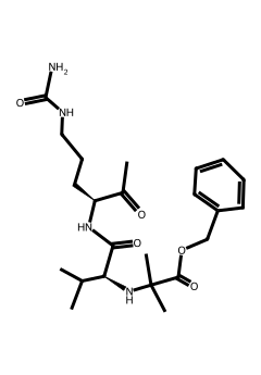 CC(=O)[C@H](CCCNC(N)=O)NC(=O)[C@@H](NC(C)(C)C(=O)OCc1ccccc1)C(C)C